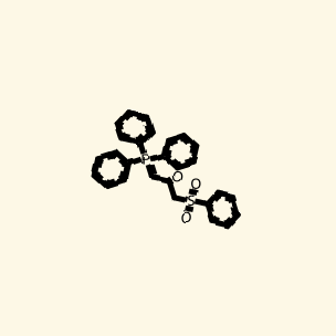 O=C(C=P(c1ccccc1)(c1ccccc1)c1ccccc1)CS(=O)(=O)c1ccccc1